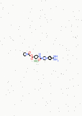 Cl.N=C(N)c1ccc(N2CCN(C(=O)N[C@H]3CC[C@H](C(=O)OCC(=O)N4CCCCC4)CC3)CC2)cc1